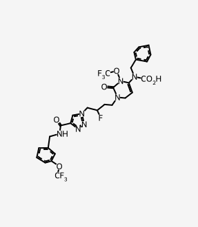 O=C(NCc1cccc(OC(F)(F)F)c1)c1cn(CC(F)CCN2CC=C(N(Cc3ccccc3)C(=O)O)N(OC(F)(F)F)C2=O)nn1